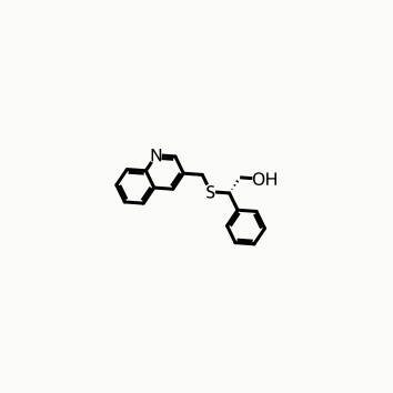 OC[C@@H](SCc1cnc2ccccc2c1)c1ccccc1